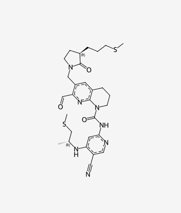 CSCCC[C@@H]1CCN(Cc2cc3c(nc2C=O)N(C(=O)Nc2cc(N[C@H](C)CSC)c(C#N)cn2)CCC3)C1=O